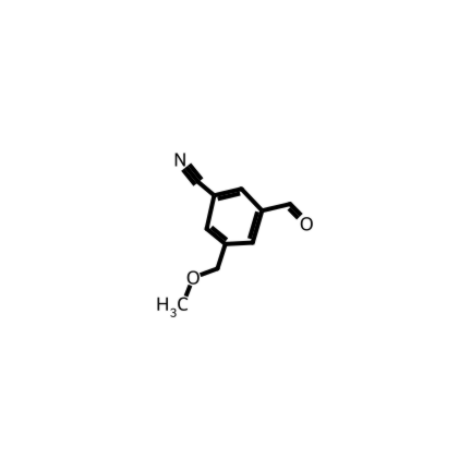 COCc1cc(C#N)cc(C=O)c1